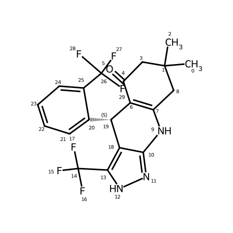 CC1(C)CC(=O)C2=C(C1)Nc1n[nH]c(C(F)(F)F)c1[C@@H]2c1ccccc1C(F)(F)F